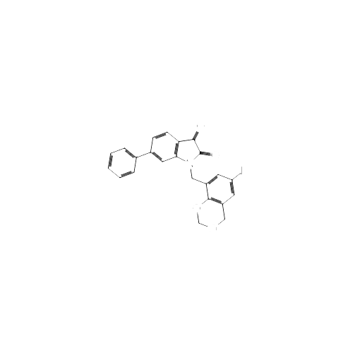 O=C1C(=O)N(Cc2cc(F)cc3c2OCOC3)c2cc(-c3ccccc3)ccc21